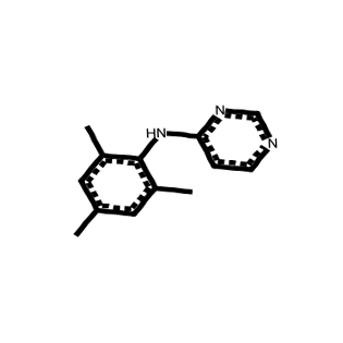 Cc1cc(C)c(Nc2ccncn2)c(C)c1